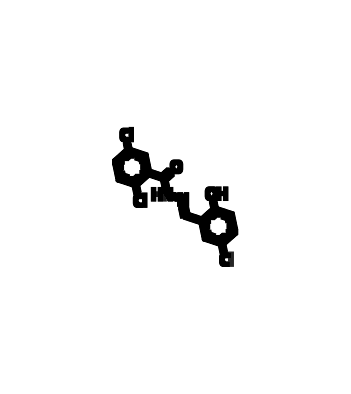 O=C(N/N=C/c1cc(Cl)ccc1O)c1cc(Cl)ccc1Cl